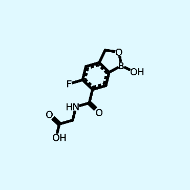 O=C(O)CNC(=O)c1cc2c(cc1F)COB2O